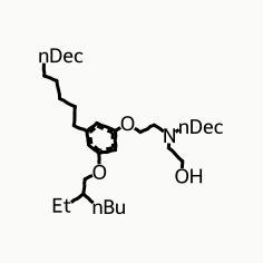 CCCCCCCCCCCCCCCc1cc(OCCN(CCO)CCCCCCCCCC)cc(OCC(CC)CCCC)c1